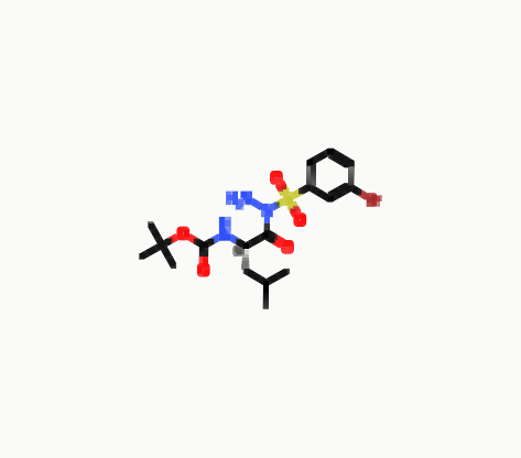 CC(C)C[C@H](NC(=O)OC(C)(C)C)C(=O)N(N)S(=O)(=O)c1cccc(Br)c1